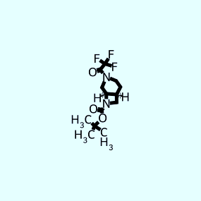 CC(C)(C)OC(=O)N1C[C@@H]2CCN(C(=O)C(F)(F)F)C[C@@H]21